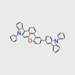 c1ccc(-n2c3ccccc3c3cc(-c4ccc5c(c4)-c4cccc6c4c(cc4c6c6ccccc6n4-c4ccccc4)O5)ccc32)cc1